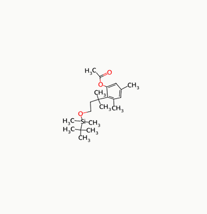 CC(=O)Oc1cc(C)cc(C)c1C(C)(C)CCO[Si](C)(C)C(C)(C)C